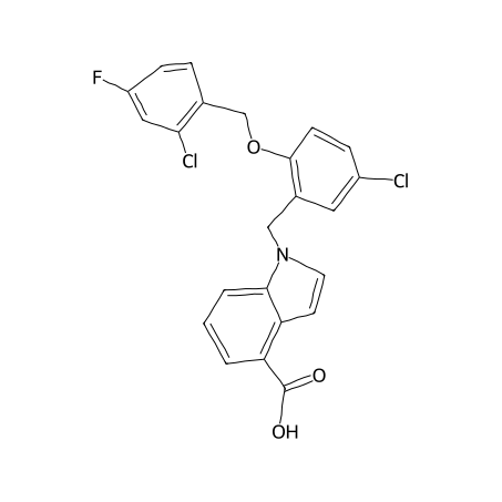 O=C(O)c1cccc2c1ccn2Cc1cc(Cl)ccc1OCc1ccc(F)cc1Cl